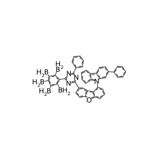 Bc1c(B)c(B)c(-c2nc(-c3ccccc3)nc(-c3ccc4oc5cccc(-n6c7ccccc7c7ccc(-c8ccccc8)cc76)c5c4c3)n2)c(B)c1B